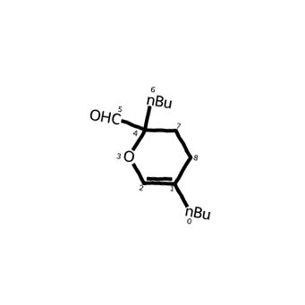 CCCCC1=COC(C=O)(CCCC)CC1